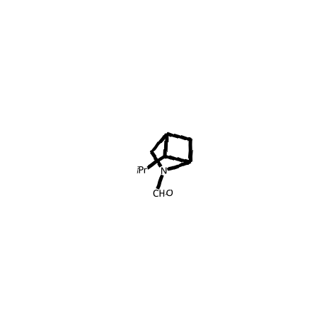 CC(C)C1C2CC1N(C=O)C2